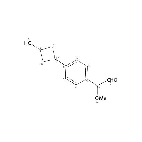 COC(C=O)c1ccc(N2CC(O)C2)cc1